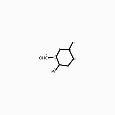 CC1CCC(C(C)C)[C@@H](C=O)C1